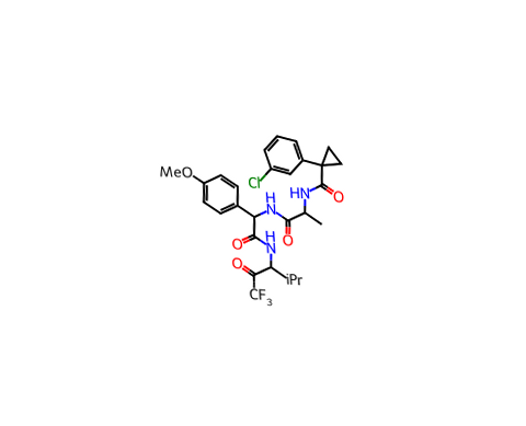 COc1ccc(C(NC(=O)C(C)NC(=O)C2(c3cccc(Cl)c3)CC2)C(=O)NC(C(=O)C(F)(F)F)C(C)C)cc1